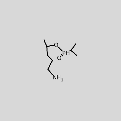 CC(CCCN)O[PH](=O)C(C)C